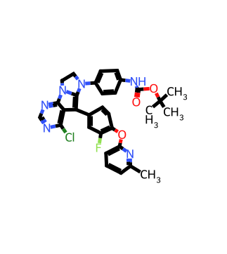 Cc1cccc(Oc2ccc(-c3c4n(c5ncnc(Cl)c35)CCN4c3ccc(NC(=O)OC(C)(C)C)cc3)cc2F)n1